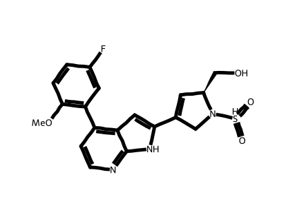 COc1ccc(F)cc1-c1ccnc2[nH]c(C3=C[C@@H](CO)N([SH](=O)=O)C3)cc12